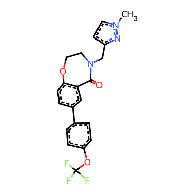 Cn1ccc(CN2CCOc3ccc(-c4ccc(OC(F)(F)F)cc4)cc3C2=O)n1